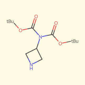 CC(C)(C)OC(=O)N(C(=O)OC(C)(C)C)C1CNC1